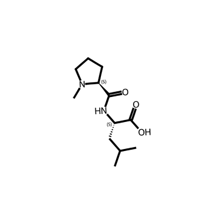 CC(C)C[C@H](NC(=O)[C@@H]1CCCN1C)C(=O)O